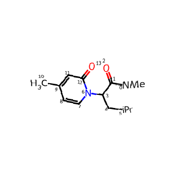 CNC(=O)C(CC(C)C)n1ccc(C)cc1=O